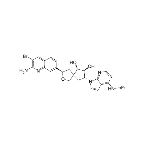 CCCNc1ncnc2c1ccn2[C@@H]1C[C@@]2(CO[C@@H](c3ccc4cc(Br)c(N)nc4c3)C2)[C@@H](O)[C@H]1O